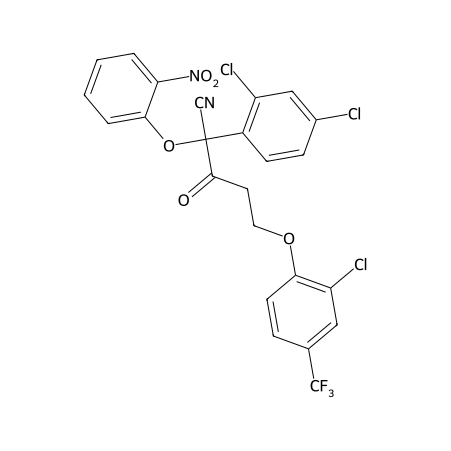 N#CC(Oc1ccccc1[N+](=O)[O-])(C(=O)CCOc1ccc(C(F)(F)F)cc1Cl)c1ccc(Cl)cc1Cl